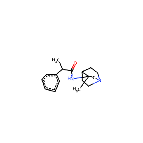 CC(C(=O)NC1(C)CN2CCC1CC2)c1ccccc1